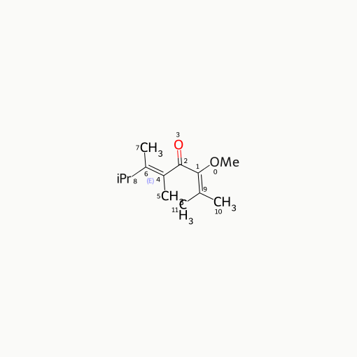 COC(C(=O)/C(C)=C(\C)C(C)C)=C(C)C